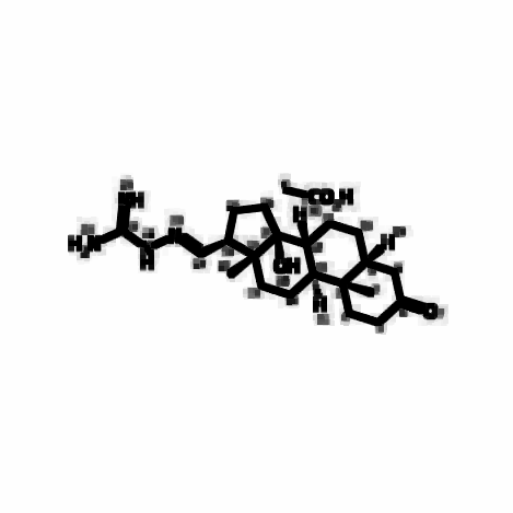 CC(=O)O.C[C@]12CCC(=O)C[C@H]1CC[C@@H]1[C@@H]2CC[C@]2(C)[C@@H](/C=N/NC(=N)N)CC[C@]12O